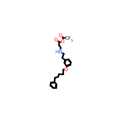 O=C(CCNCCc1cccc(OCCCCCc2ccccc2)c1)OC(=O)C(F)(F)F